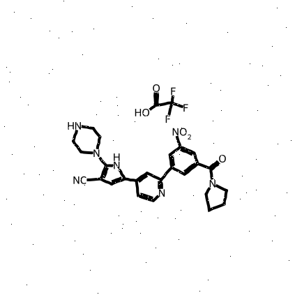 N#Cc1cc(-c2ccnc(-c3cc(C(=O)N4CCCC4)cc([N+](=O)[O-])c3)c2)[nH]c1N1CCNCC1.O=C(O)C(F)(F)F